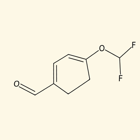 O=CC1=CC=C(OC(F)F)CC1